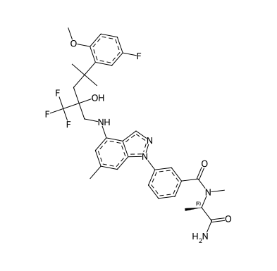 COc1ccc(F)cc1C(C)(C)CC(O)(CNc1cc(C)cc2c1cnn2-c1cccc(C(=O)N(C)[C@H](C)C(N)=O)c1)C(F)(F)F